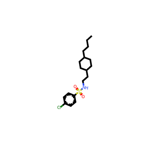 CCCCC1CCC(CCNS(=O)(=O)c2ccc(Cl)cc2)CC1